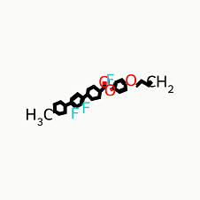 C=CCCOc1ccc(OC(=O)C2CCC(c3ccc(C4CCC(C)CC4)c(F)c3F)CC2)c(F)c1